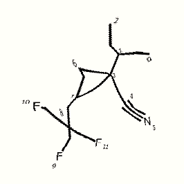 CC(C)C1(C#N)CC1C(F)(F)F